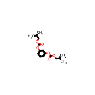 C=C(C)COC(=O)Oc1cccc(OC(=O)OCC(=C)C)c1